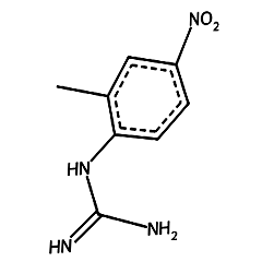 Cc1cc([N+](=O)[O-])ccc1NC(=N)N